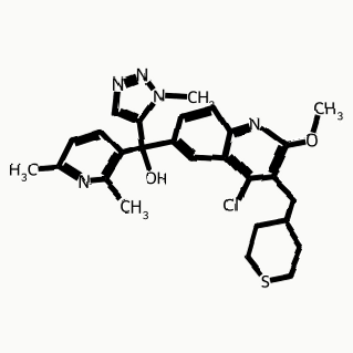 COc1nc2ccc(C(O)(c3ccc(C)nc3C)c3cnnn3C)cc2c(Cl)c1CC1CCSCC1